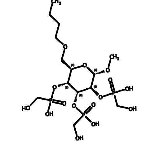 CCCCOC[C@H]1O[C@H](OC)[C@@H](OP(=O)(O)CO)[C@H](OP(=O)(O)CO)[C@@H]1OP(=O)(O)CO